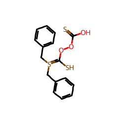 OC(=S)OOC(S)=S(Cc1ccccc1)Cc1ccccc1